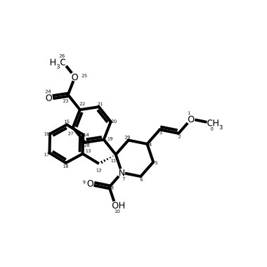 COC=CC1CCN(C(=O)O)[C@@](Cc2ccccc2)(c2ccc(C(=O)OC)cc2)C1